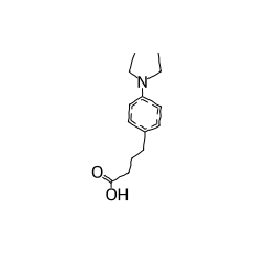 CCN(CC)c1ccc(CCCC(=O)O)cc1